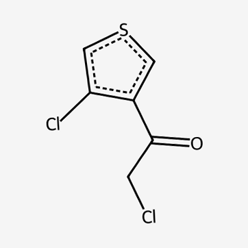 O=C(CCl)c1cscc1Cl